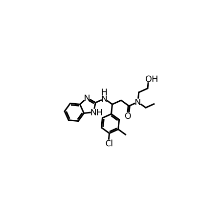 CCN(CCO)C(=O)CC(Nc1nc2ccccc2[nH]1)c1ccc(Cl)c(C)c1